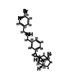 CN1[C@@H]2CC[C@H]1C[C@H](Oc1cccc(CNCc3ccc(Br)nc3)c1)C2